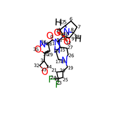 O=C(NC1C[C@H]2CC[C@@H](C1)N2S(=O)(=O)CC1CCN(CC2CC(F)(F)C2)CC1)c1cc(C2COC2)on1